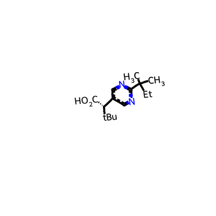 CCC(C)(C)c1ncc([C@@H](C(=O)O)C(C)(C)C)cn1